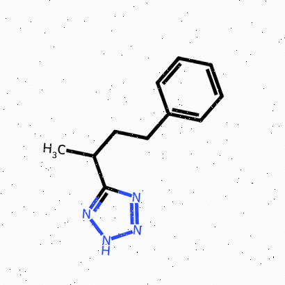 CC(CCc1ccccc1)c1nn[nH]n1